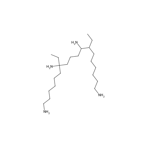 CCC(CCCCCCN)C(N)CCCC(N)(CC)CCCCCCN